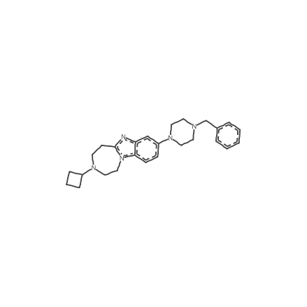 c1ccc(CN2CCN(c3ccc4c(c3)nc3n4CCN(C4CCC4)CC3)CC2)cc1